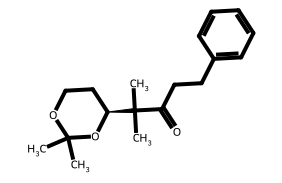 CC1(C)OCC[C@@H](C(C)(C)C(=O)CCc2ccccc2)O1